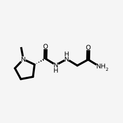 CN1CCC[C@H]1C(=O)NNCC(N)=O